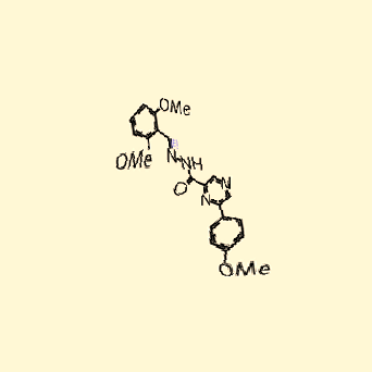 COc1ccc(-c2cncc(C(=O)N/N=C/c3c(OC)cccc3OC)n2)cc1